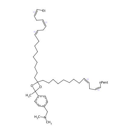 CC/C=C\C/C=C\C/C=C\CCCCCCCCC1(CCCCCCCC/C=C\C/C=C\CCCCC)OC(C)(c2ccc(CN(C)C)cc2)O1